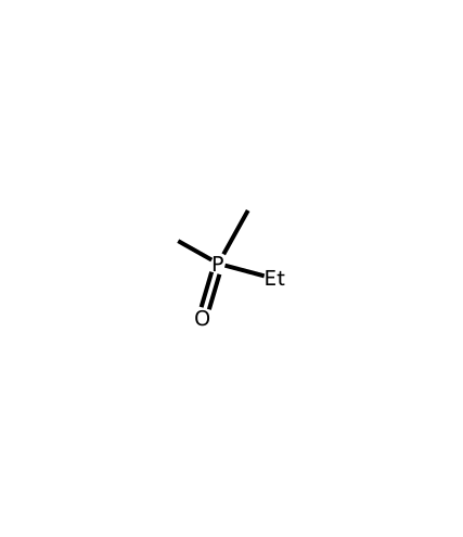 [CH2]CP(C)(C)=O